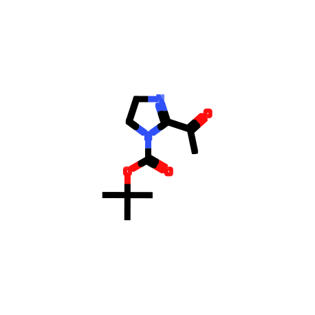 CC(=O)C1=NCCN1C(=O)OC(C)(C)C